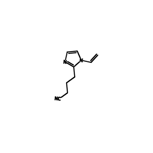 C=Cn1ccnc1CCCC#N